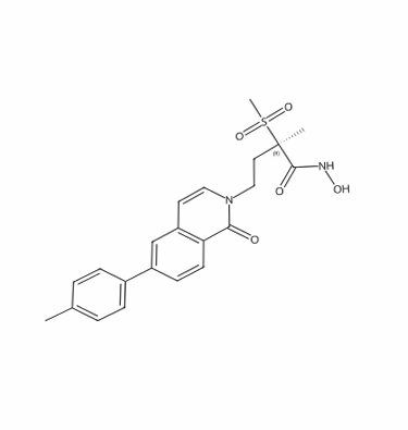 Cc1ccc(-c2ccc3c(=O)n(CC[C@](C)(C(=O)NO)S(C)(=O)=O)ccc3c2)cc1